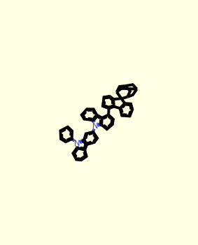 c1ccc(-n2c3ccccc3c3ccc(-n4c5ccccc5c5c(-c6cccc7c6-c6ccccc6C76C7CC8CC(C7)CC6C8)cccc54)cc32)cc1